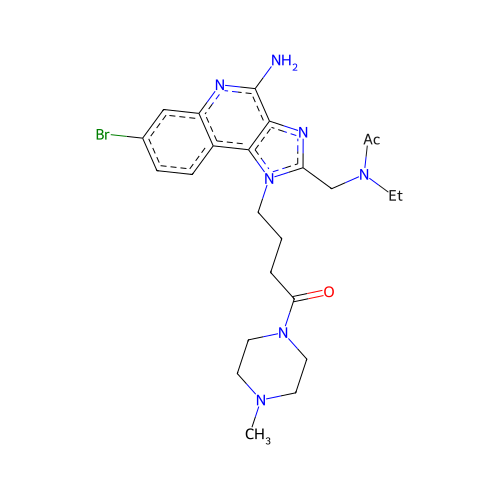 CCN(Cc1nc2c(N)nc3cc(Br)ccc3c2n1CCCC(=O)N1CCN(C)CC1)C(C)=O